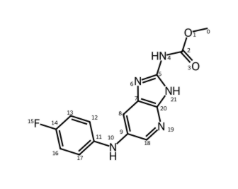 COC(=O)Nc1nc2cc(Nc3ccc(F)cc3)cnc2[nH]1